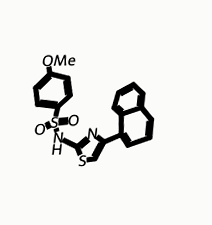 COc1ccc(S(=O)(=O)Nc2nc(-c3cccc4ccccc34)cs2)cc1